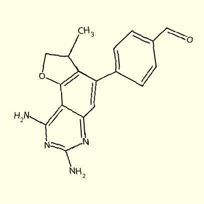 CC1COc2c1c(-c1ccc(C=O)cc1)cc1nc(N)nc(N)c21